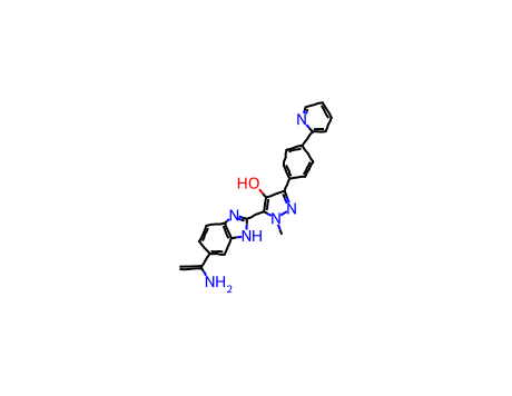 C=C(N)c1ccc2nc(-c3c(O)c(-c4ccc(-c5ccccn5)cc4)nn3C)[nH]c2c1